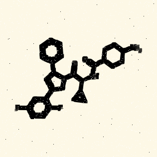 NC1CCN(C(=O)N[C@H](C(=O)N2CC(c3cc(F)ccc3F)=CC2c2ccccc2)C2CC2)CC1